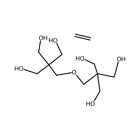 C=C.OCC(CO)(CO)COCC(CO)(CO)CO